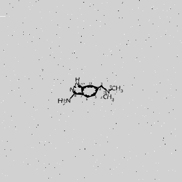 CN(C)Cc1ccc2c(N)n[nH]c2c1